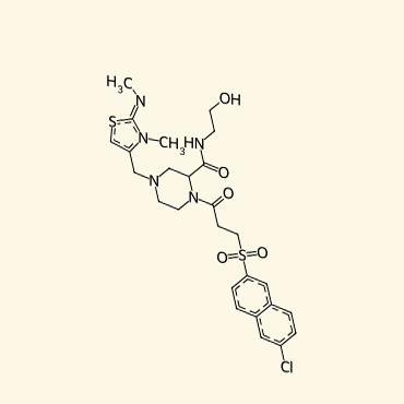 C/N=c1\scc(CN2CCN(C(=O)CCS(=O)(=O)c3ccc4cc(Cl)ccc4c3)C(C(=O)NCCO)C2)n1C